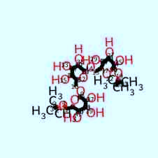 CC(C)(C)OCC1O[C@H](OCC2O[C@H](OCC3O[C@H](OC(C)(C)C)C(O)[C@H](O)[C@@H]3O)C(O)[C@H](O)[C@@H]2O)C(O)[C@H](O)[C@@H]1O